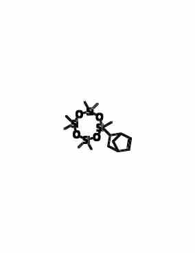 C[Si]1(C)O[Si](C)(C)O[Si](C)(C2CC3C=CC2C3)O[Si](C)(C)O1